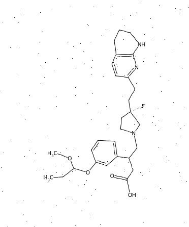 CCC(OC)Oc1cccc(C(CC(=O)O)CN2CC[C@@](F)(CCc3ccc4c(n3)NCCC4)C2)c1